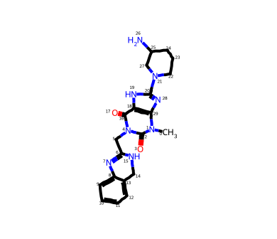 Cn1c(=O)n(CC2=Nc3ccccc3CN2)c(=O)c2[nH]c(N3CCCC(N)C3)nc21